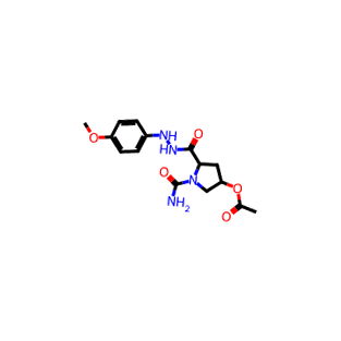 COc1ccc(NNC(=O)C2CC(OC(C)=O)CN2C(N)=O)cc1